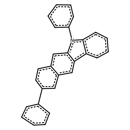 c1ccc(-c2ccc3cc4c(cc3c2)c2ccccc2n4-c2ccccc2)cc1